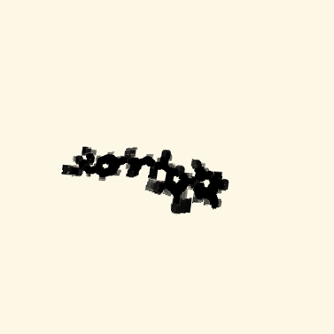 CCOP(=O)(Cc1ccc(NC(=O)CNC(=O)[C@H]2O[C@@H](n3cc(C)c(=O)[nH]c3=O)[C@H](O)[C@@H]2O)cc1)OCC